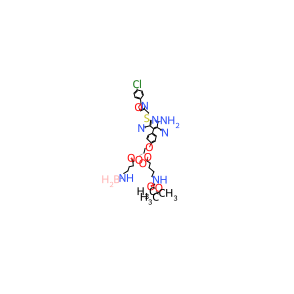 BNCCCCC(=O)OC[C@H](COc1ccc(-c2c(C#N)c(N)nc(SCc3coc(-c4ccc(Cl)cc4)n3)c2C#N)cc1)OC(=O)CCCCNC(=O)OC(C)(C)C